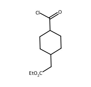 CCOC(=O)CC1CCC(C(=O)Cl)CC1